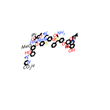 C=CCC1(CC(C)C)C(=O)NC(=O)NC1=O.CC(CN1c2ccccc2Sc2ccccc21)N(C)C.COc1cccc([C@@]2(O)CCCC[C@@H]2CN(C)C)c1.NC(=O)C[S+]([O-])C(c1ccccc1)c1ccccc1.O=C(O)c1cccnc1.O=C1CC[C@@]2(O)[C@H]3Cc4ccc(O)c5c4[C@@]2(CCN3CC2CC2)[C@H]1O5